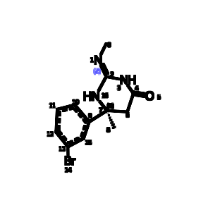 C/N=C1\NC(=O)C[C@@](C)(c2cccc(Br)c2)N1